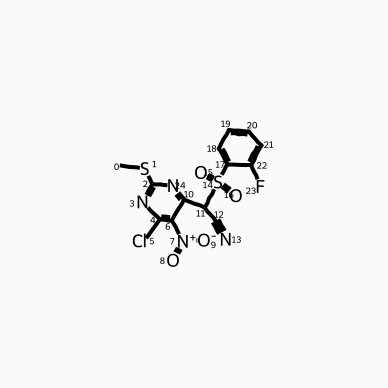 CSc1nc(Cl)c([N+](=O)[O-])c(C(C#N)S(=O)(=O)c2ccccc2F)n1